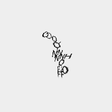 Cc1cc(-c2ncnc(Nc3ccc(C(=O)C(F)(F)F)cc3)n2)ccc1OC1CCOCC1